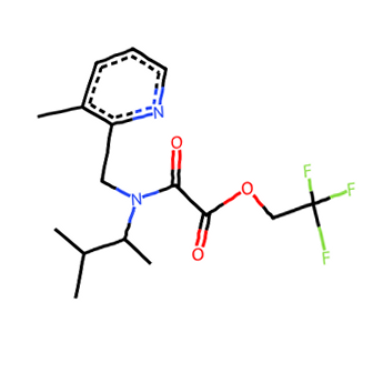 Cc1cccnc1CN(C(=O)C(=O)OCC(F)(F)F)C(C)C(C)C